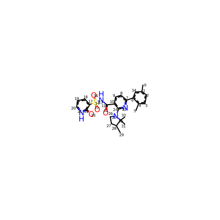 Cc1ccc(C)c(-c2ccc(C(=O)NS(=O)(=O)c3ccc[nH]c3=O)c(N3CCC(C)C3(C)C)n2)c1